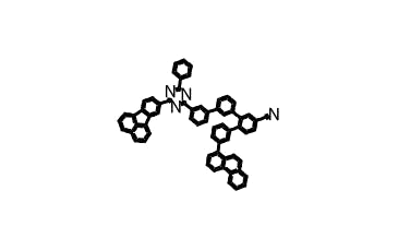 N#Cc1ccc(-c2cccc(-c3cccc4c3ccc3ccccc34)c2)c(-c2cccc(-c3cccc(-c4nc(-c5ccccc5)nc(-c5ccc6c(c5)-c5cccc7cccc-6c57)n4)c3)c2)c1